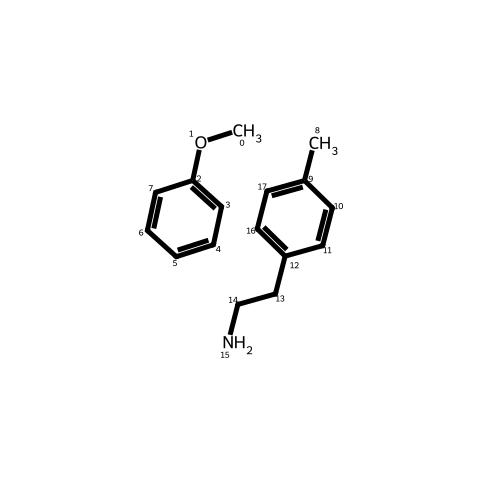 COc1ccccc1.Cc1ccc(CCN)cc1